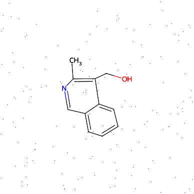 Cc1ncc2ccccc2c1CO